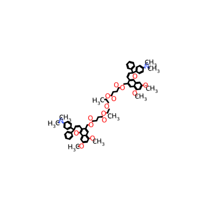 COc1cc(OC)c2cc(COC(=O)CCC(=O)OC(C)COCC(C)OC(=O)CCC(=O)OCc3cc4c(OC)cc(OC)cc4c4c3C=CC(c3ccccc3)(c3ccc(N(C)C)cc3)O4)c3c(c2c1)OC(c1ccccc1)(c1ccc(N(C)C)cc1)C=C3